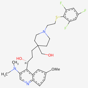 COc1ccc2ncc(N(C)C)c([C@H](O)CCC3(CO)CCN(CCSc4c(F)cc(F)cc4F)CC3)c2c1